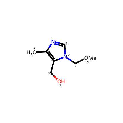 COCn1cnc(C)c1CO